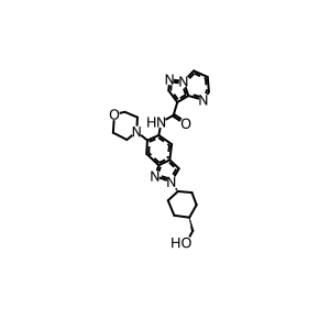 O=C(Nc1cc2cn([C@H]3CC[C@H](CO)CC3)nc2cc1N1CCOCC1)c1cnn2cccnc12